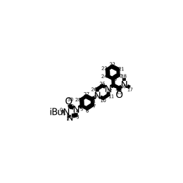 CCC(C)n1ncn(-c2ccc(N3CCN(C(C(=O)N(C)C)c4ccccc4)CC3)cc2)c1=O